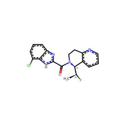 C[C@H](F)[C@@H]1c2cccnc2CCN1C(=O)c1nc2cccc(Cl)c2[nH]1